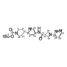 CC(C)(C)OC(=O)N1CCC(c2ccc(NC(=O)C3CN(c4cccnn4)C3)cn2)CC1